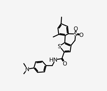 Cc1cc(C)c2c(c1)S(=O)(=O)Cc1cc(C(=O)NCc3ccc(N(C)C)cc3)sc1-2